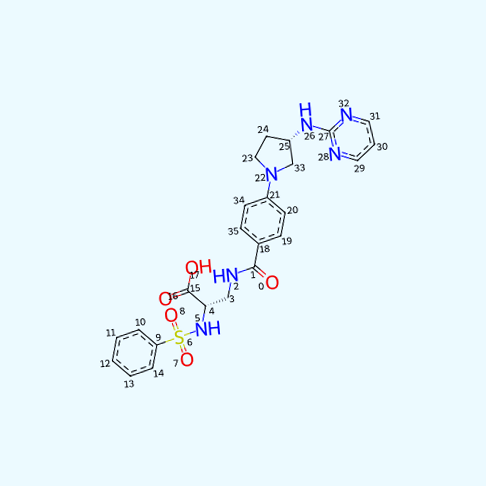 O=C(NC[C@H](NS(=O)(=O)c1ccccc1)C(=O)O)c1ccc(N2CC[C@H](Nc3ncccn3)C2)cc1